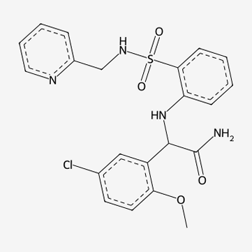 COc1ccc(Cl)cc1C(Nc1ccccc1S(=O)(=O)NCc1ccccn1)C(N)=O